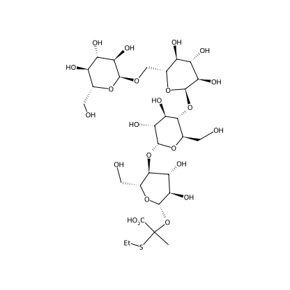 CCSC(C)(O[C@@H]1O[C@H](CO)[C@@H](O[C@H]2O[C@H](CO)[C@@H](O[C@H]3O[C@H](CO[C@H]4O[C@H](CO)[C@@H](O)[C@H](O)[C@H]4O)[C@@H](O)[C@H](O)[C@H]3O)[C@H](O)[C@H]2O)[C@H](O)[C@H]1O)C(=O)O